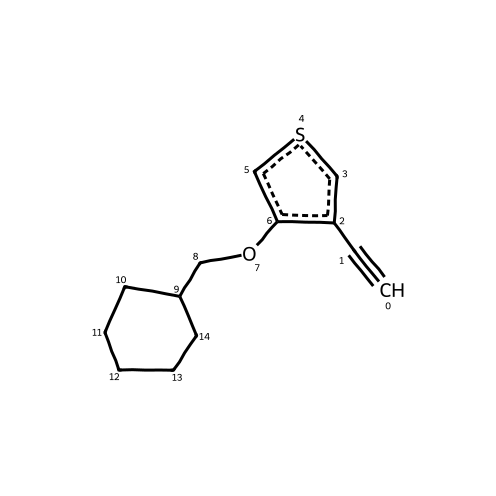 C#Cc1cscc1OCC1CCCCC1